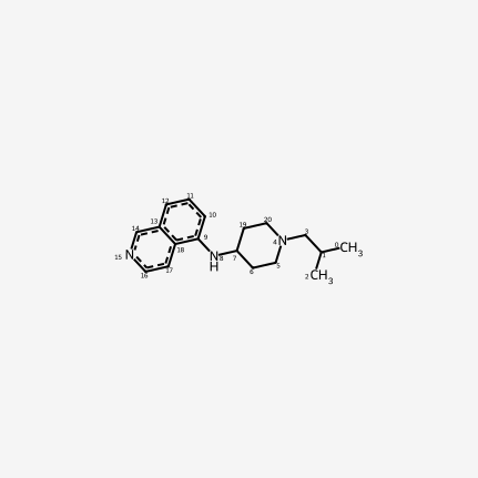 CC(C)CN1CCC(Nc2cccc3cnccc23)CC1